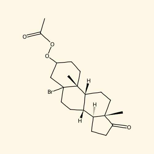 CC(=O)OOC1CC[C@]2(C)[C@@H]3CC[C@]4(C)C(=O)CC[C@H]4[C@@H]3CCC2(Br)C1